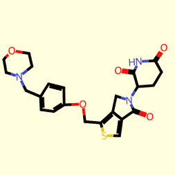 O=C1CCC(N2Cc3c(csc3COc3ccc(CN4CCOCC4)cc3)C2=O)C(=O)N1